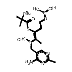 CCCCC(C)(C)C(=O)S/C(CCOP(O)O)=C(/C)N(C=O)Cc1cnc(C)nc1N